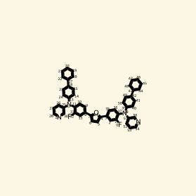 Fc1cc(-c2ccc(-c3ccc(N(c4ccc(-c5ccccc5)cc4)c4cccnc4)c(F)c3)o2)ccc1N(c1ccc(-c2ccccc2)cc1)c1cccnc1